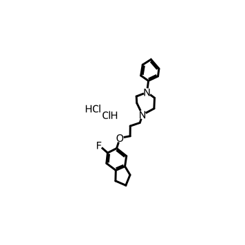 Cl.Cl.Fc1cc2c(cc1OCCCN1CCN(c3ccccc3)CC1)CCC2